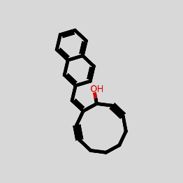 OC1C#CCCCCC#CC1=Cc1ccc2ccccc2c1